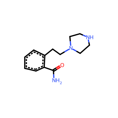 NC(=O)c1ccccc1CCN1CCNCC1